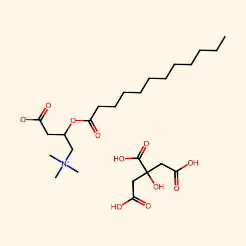 CCCCCCCCCCCC(=O)OC(CC(=O)[O-])C[N+](C)(C)C.O=C(O)CC(O)(CC(=O)O)C(=O)O